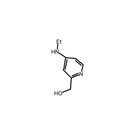 CCNc1ccnc(CO)c1